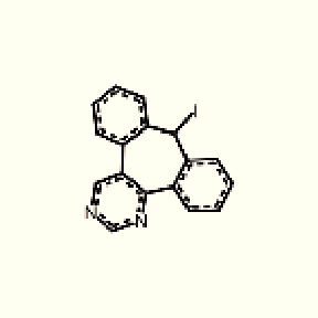 IC1c2ccccc2-c2cncnc2-c2ccccc21